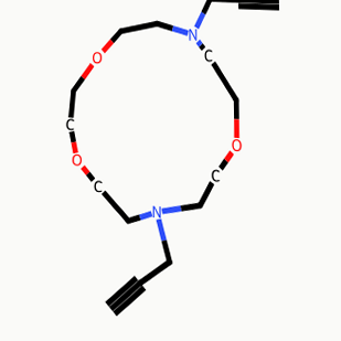 C#CCN1CCOCCOCCN(CC#C)CCOCC1